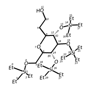 CC[Si](CC)(CC)OCC1OC(CCO)[C@H](O[Si](CC)(CC)CC)C(O[Si](CC)(CC)CC)[C@@H]1O[Si](CC)(CC)CC